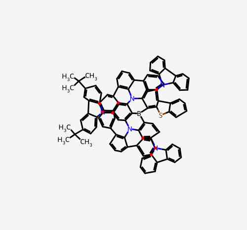 CC(C)(C)c1ccc2c(c1)c1cc(C(C)(C)C)ccc1n2-c1cc2c3c(c1)N(c1c(-c4ccccc4)cccc1-c1ccccc1)c1cc(-n4c5ccccc5c5ccccc54)c4c(sc5ccccc54)c1B3c1ccc(-n3c4ccccc4c4ccccc43)cc1N2c1c(-c2ccccc2)cccc1-c1ccccc1